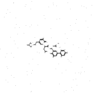 COC(=O)C[C@H](NC(=O)C(CC(C)C)n1cc(CCN2CC(F)C2)cc(F)c1=O)c1cc(-c2c(C)cc(F)cc2C)cc(C)c1F